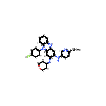 CC(=O)Nc1ccc(Nc2cc3nc4ccccc4n(C4=CC=C(F)CC4)c-3c/c2=N\C2CCOCC2)cn1